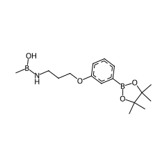 CB(O)NCCCOc1cccc(B2OC(C)(C)C(C)(C)O2)c1